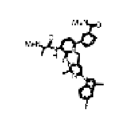 CNC(=O)c1cccc(-c2ccc(NC(=O)C(C)NC)c(=O)n2Cc2cc(-n3cc(C)c4cc(F)ccc43)nc(C)n2)c1